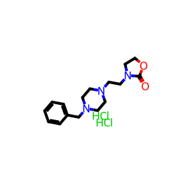 Cl.Cl.O=C1OCCN1CCN1CCN(Cc2ccccc2)CC1